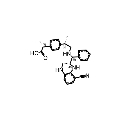 C[C@H](CN[C@H](c1ccccc1)[C@H]1CNc2cccc(C#N)c2N1)c1ccc([C@@H](C)C(=O)O)cc1